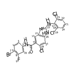 O=C(Nc1ccc(Br)c(F)c1)c1cc2nc(Nc3c(Cl)cccc3Cl)[nH]c2cc1Cl